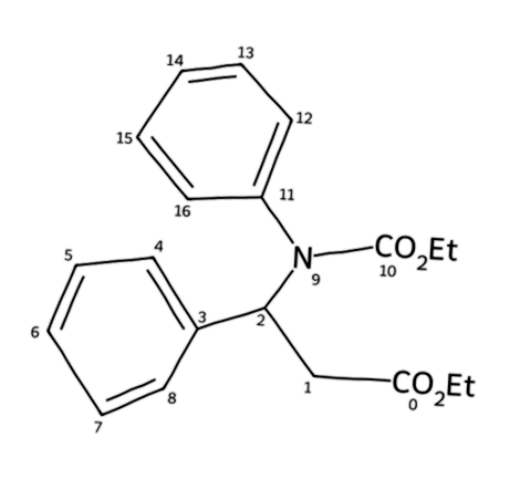 CCOC(=O)CC(c1ccccc1)N(C(=O)OCC)c1ccccc1